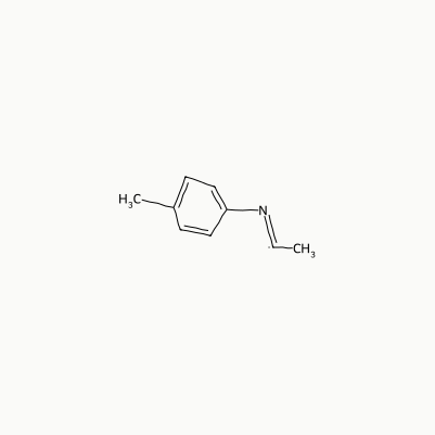 C[C]=Nc1ccc(C)cc1